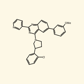 COc1cccc(-c2ccc3nc(-c4cccnc4)nc(N4CCC(c5ccccc5Cl)C4)c3c2)c1